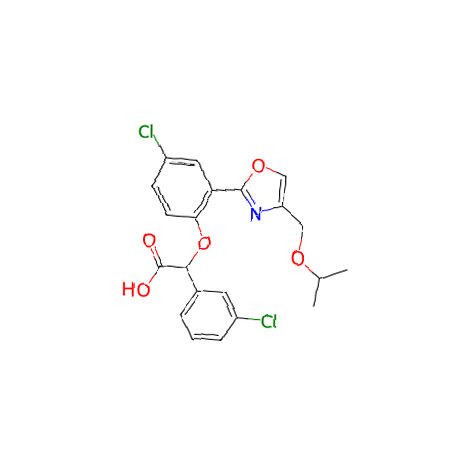 CC(C)OCc1coc(-c2cc(Cl)ccc2OC(C(=O)O)c2cccc(Cl)c2)n1